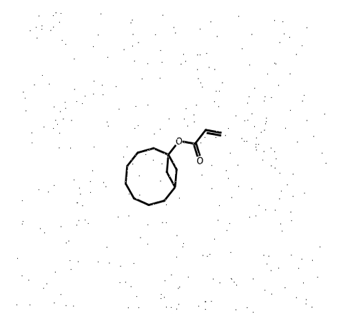 C=CC(=O)OC12CCCCCCCC(C1)C2